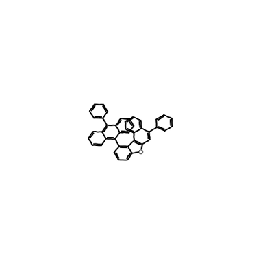 c1ccc(-c2c3ccccc3c(-c3cccc4oc5cc(-c6ccccc6)c6ccccc6c5c34)c3ccccc23)cc1